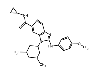 CC1CC(C)CC(n2c(Nc3ccc(OC(F)(F)F)cc3)nc3ccc(C(=O)NC4CC4)cc32)C1